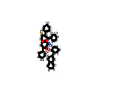 c1cc(-c2ccc3ccccc3c2)cc(N(c2ccccc2-c2cccc3sc4ccccc4c23)c2cccc3c2oc2ccccc23)c1